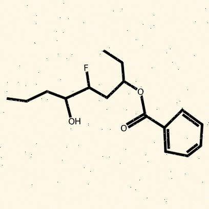 CCCC(O)C(F)CC(CC)OC(=O)c1[c]cccc1